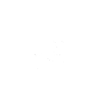 C=C(SC)N(C(=C)c1cn2ncnc2c(C)c1C)C(=O)OC(C)(C)C